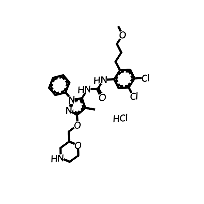 COCCCc1cc(Cl)c(Cl)cc1NC(=O)Nc1c(C)c(OCC2CNCCO2)nn1-c1ccccc1.Cl